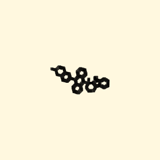 CC1C=Cc2cc(-c3c4ccccc4c(C4(C)CC=Cc5c4sc4ccccc54)c4ccccc34)ccc2C1